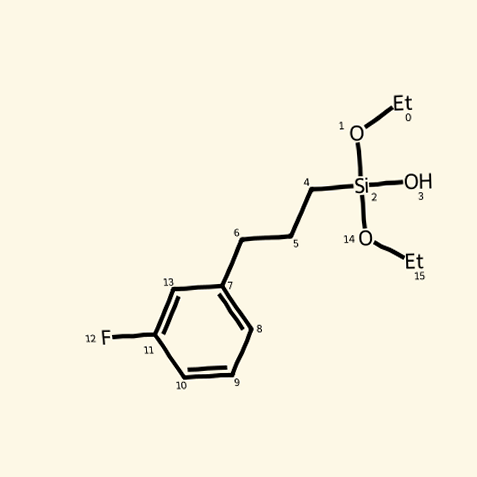 CCO[Si](O)(CCCc1cccc(F)c1)OCC